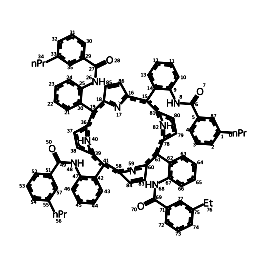 CCCc1cccc(C(=O)Nc2ccccc2-c2c3nc(c(-c4ccccc4NC(=O)c4cccc(CCC)c4)c4ccc([nH]4)c(-c4ccccc4NC(=O)c4cccc(CCC)c4)c4nc(c(-c5ccccc5NC(=O)c5cccc(CC)c5)c5ccc2[nH]5)C=C4)C=C3)c1